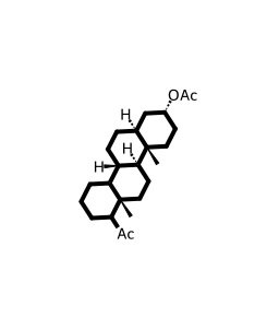 CC(=O)O[C@@H]1CC[C@@]2(C)[C@@H](CC[C@H]3C4CCCC(C(C)=O)[C@@]4(C)CC[C@@H]32)C1